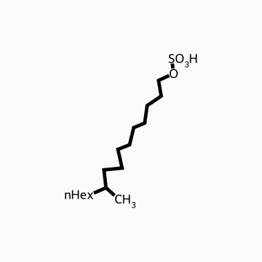 CCCCCCC(C)CCCCCCCCCOS(=O)(=O)O